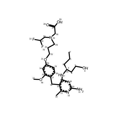 CCC[C@@H](CCO)Nc1nc(N)nc(C)c1Cc1ccc(OCCCN(CC(=O)O)CC(F)F)cc1OC